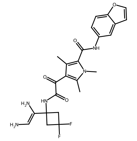 Cc1c(C(=O)C(=O)NC2(/C(N)=C/N)CC(F)(F)C2)c(C)n(C)c1C(=O)Nc1ccc2occc2c1